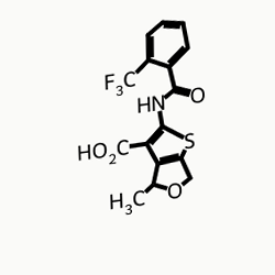 CC1OCc2sc(NC(=O)c3ccccc3C(F)(F)F)c(C(=O)O)c21